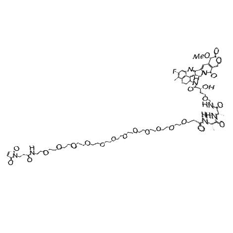 CO[C@@H]1C(=O)OCc2c1cc1n(c2=O)Cc2c-1nc1cc(F)c(C)c3c1c2C(NC(=O)[C@H](O)CCOCNC(=O)[C@H](C)NC(=O)[C@H](C)NC(=O)CCOCCOCCOCCOCCOCCOCCOCCOCCOCCOCCOCCOCCNC(=O)CCN1C(=O)C=CC1=O)CC3